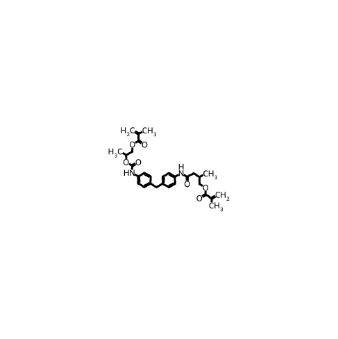 C=C(C)C(=O)OCC(C)CC(=O)Nc1ccc(Cc2ccc(NC(=O)OC(C)COC(=O)C(=C)C)cc2)cc1